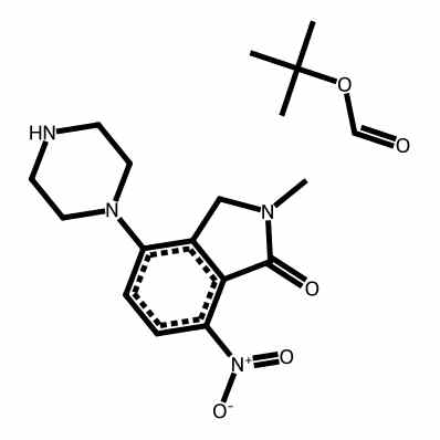 CC(C)(C)OC=O.CN1Cc2c(N3CCNCC3)ccc([N+](=O)[O-])c2C1=O